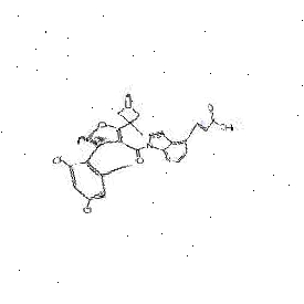 Cc1cc(Cl)cc(Cl)c1-c1noc(C2(C)COC2)c1C(=O)n1ccc2c(/C=C/C(=O)O)ccnc21